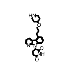 O=C1CCC(n2c3cccc(CCCOC4CCNCC4)c3c3cccnc32)C(=O)N1